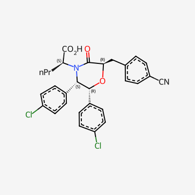 CCC[C@@H](C(=O)O)N1C(=O)[C@@H](Cc2ccc(C#N)cc2)O[C@H](c2ccc(Cl)cc2)[C@@H]1c1ccc(Cl)cc1